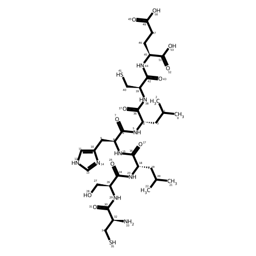 CC(C)C[C@H](NC(=O)[C@H](Cc1c[nH]cn1)NC(=O)[C@H](CC(C)C)NC(=O)[C@H](CO)NC(=O)[C@@H](N)CS)C(=O)N[C@@H](CS)C(=O)N[C@@H](CCC(=O)O)C(=O)O